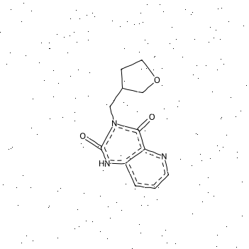 O=c1[nH]c2cccnc2c(=O)n1CC1CCOC1